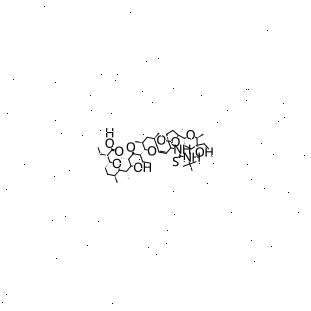 CCC(C(=O)[C@@H](C)[C@@H](O)[C@H](C)[C@@H]1O[C@@H]([C@@H](CC)C(=O)O)CC[C@@H]1C)[C@H]1O[C@]2(C=CC(NC(=S)NC(C)(C)C)[C@]3(CC[C@@](C)([C@H]4CC[C@](O)(CC)[C@H](C)O4)O3)O2)[C@H](C)C[C@@H]1C